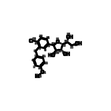 CCOc1ccc(Cc2cc(C3O[C@H]([C@H](O)CO)[C@H](O)[C@H]3O)ccc2Cl)cc1